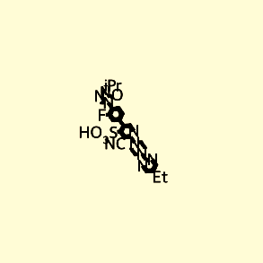 CCc1cnc(N2CCN(c3ncc(-c4ccc(-n5cnn(C(C)C)c5=O)c(F)c4)c(S(=O)(=O)O)c3C#N)CC2)nc1